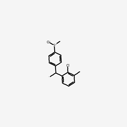 [CH2]C(c1ccc([S+](C)[O-])cc1)c1cccc(C)c1Cl